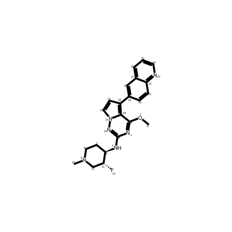 COc1nc(N[C@@H]2CCN(C)C[C@H]2F)nn2ccc(-c3ccc4ncccc4c3)c12